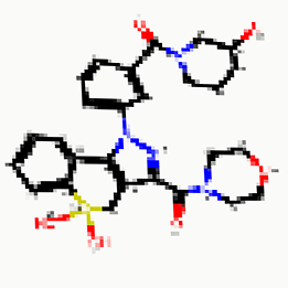 O=C(c1cccc(-n2nc(C(=O)N3CCOCC3)c3c2-c2ccccc2S(O)(O)C3)c1)N1CCCC(O)C1